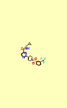 O=C(NCC1CC1)c1ccnc(C2=CCN(S(=O)(=O)c3cccc(C(F)(F)F)c3)CC2)n1